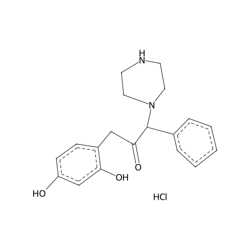 Cl.O=C(Cc1ccc(O)cc1O)C(c1ccccc1)N1CCNCC1